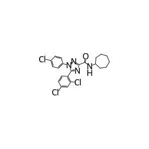 O=C(NC1CCCCCC1)c1nc(-c2ccc(Cl)cc2Cl)n(-c2ccc(Cl)cc2)n1